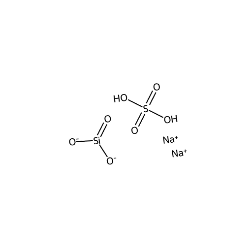 O=S(=O)(O)O.O=[Si]([O-])[O-].[Na+].[Na+]